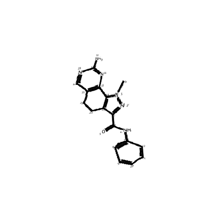 Cn1nc(C(=O)Nc2ccccc2)c2c1-c1nc(N)ncc1CC2